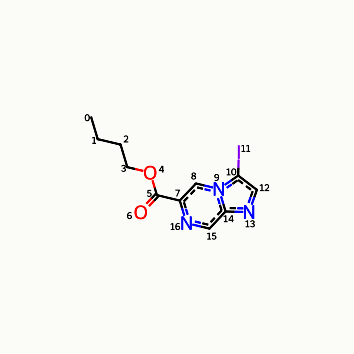 CCCCOC(=O)c1cn2c(I)cnc2cn1